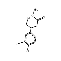 CC(C)(C)OC(=O)CC(CN)c1ccc(Cl)c(Cl)c1